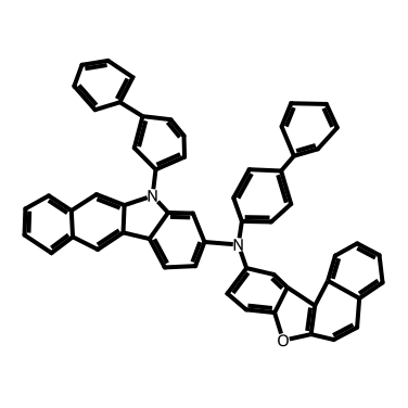 c1ccc(-c2ccc(N(c3ccc4oc5ccc6ccccc6c5c4c3)c3ccc4c5cc6ccccc6cc5n(-c5cccc(-c6ccccc6)c5)c4c3)cc2)cc1